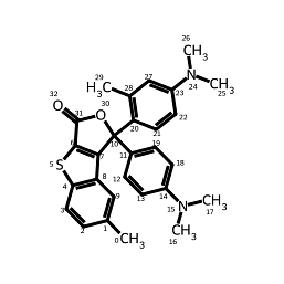 Cc1ccc2sc3c(c2c1)C(c1ccc(N(C)C)cc1)(c1ccc(N(C)C)cc1C)OC3=O